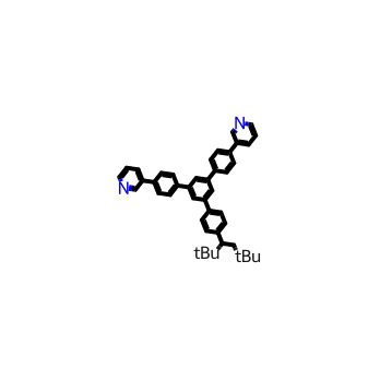 CC(C)(C)CC(c1ccc(-c2cc(-c3ccc(-c4cccnc4)cc3)cc(-c3ccc(-c4cccnc4)cc3)c2)cc1)C(C)(C)C